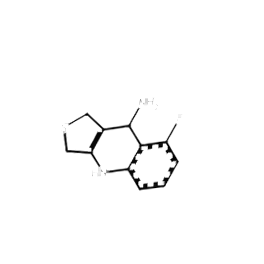 NC1C2=C(CSC2)Nc2cccc(F)c21